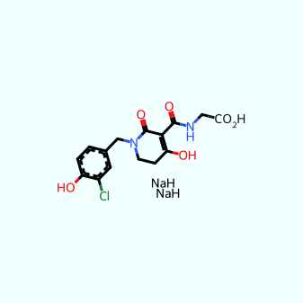 O=C(O)CNC(=O)C1=C(O)CCN(Cc2ccc(O)c(Cl)c2)C1=O.[NaH].[NaH]